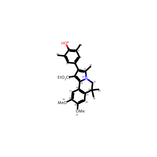 CCOC(=O)c1c(-c2cc(C)c(O)c(C)c2)c(C)n2c1-c1cc(OC)c(OC)cc1C(C)(C)C2